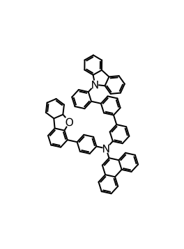 C1=CC2Oc3c(-c4ccc(N(c5cccc(-c6cccc(-c7ccccc7-n7c8ccccc8c8ccccc87)c6)c5)c5cc6ccccc6c6ccccc56)cc4)cccc3C2C=C1